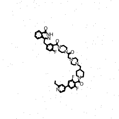 CCc1cc(-c2cc(F)c(C(=O)N3CCC(CN4CCN(CC(=O)N5CCN(C(=O)c6cc(Cc7n[nH]c(=O)c8ccccc78)ccc6F)CC5)CC4)CC3)c(F)c2)ccn1